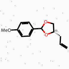 C=CC[C@H]1COC(c2ccc(OC)cc2)O1